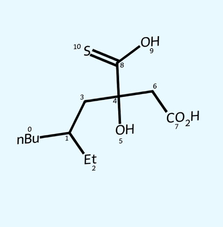 CCCCC(CC)CC(O)(CC(=O)O)C(O)=S